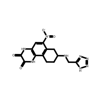 O=c1[nH]c2cc([N+](=O)[O-])c3c(c2[nH]c1=O)CCC(NCc1nnn[nH]1)C3